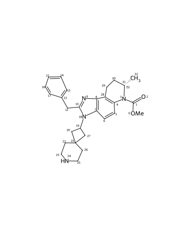 COC(=O)N1c2ccc3c(nc(Cc4ccccc4)n3C3CC4(CCNCC4)C3)c2CC[C@@H]1C